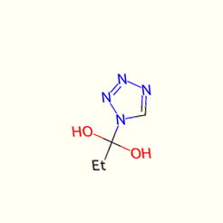 CCC(O)(O)n1cnnn1